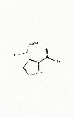 O=C(O)C1CCCN1.O=CCBr